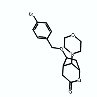 O=C1CC2C(OCc3ccc(Br)cc3)CC(O1)C2N1CCOCC1